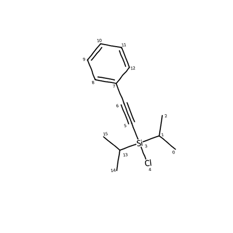 CC(C)[Si](Cl)(C#Cc1ccccc1)C(C)C